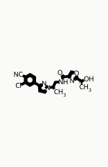 CC(CNC(=O)c1coc([C@H](C)O)n1)n1ccc(-c2ccc(C#N)c(Cl)c2)n1